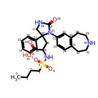 CCCCS(=O)(=O)NC(CC1(c2ccccc2)CNC(=O)N1c1ccc2c(c1)CCNCC2)C(=O)O